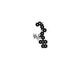 CC1(C)c2ccc(-c3cccc4c3sc3cc5c(cc34)sc3ccc4ccccc4c35)cc2-c2ccc(-c3c4ccccc4c(-c4cccc5ccccc45)c4ccccc34)cc21